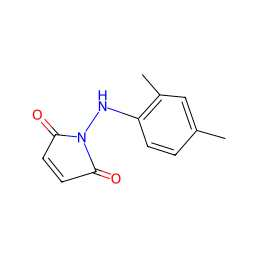 Cc1ccc(NN2C(=O)C=CC2=O)c(C)c1